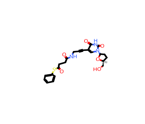 O=C(CCC(=O)Sc1ccccc1)NCC#Cc1cn(C2CC[C@@H](CO)O2)c(=O)[nH]c1=O